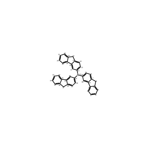 c1ccc2c(c1)Cc1ccc(N(c3ccc4c(c3)-c3ccccc3C4)c3ccc4c(c3)-c3ccccc3C4)cc1-2